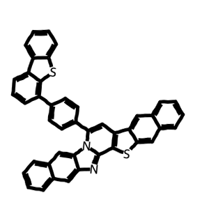 c1ccc2cc3c(cc2c1)nc1c2sc4cc5ccccc5cc4c2cc(-c2ccc(-c4cccc5c4sc4ccccc45)cc2)n31